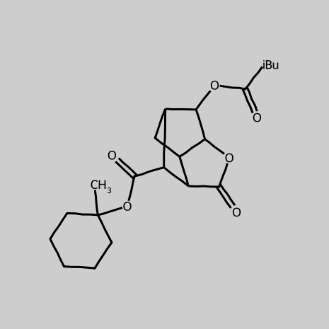 CCC(C)C(=O)OC1C2CC3C1OC(=O)C3C2C(=O)OC1(C)CCCCC1